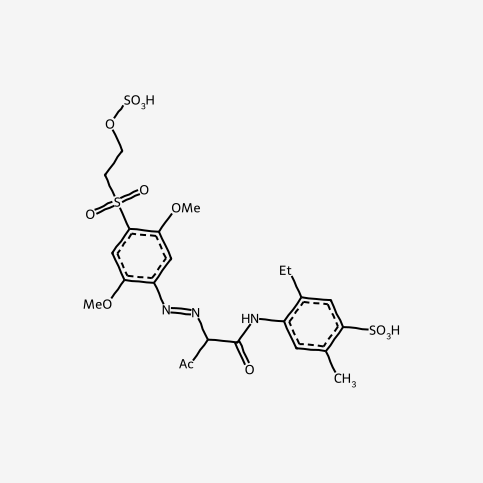 CCc1cc(S(=O)(=O)O)c(C)cc1NC(=O)C(/N=N/c1cc(OC)c(S(=O)(=O)CCOS(=O)(=O)O)cc1OC)C(C)=O